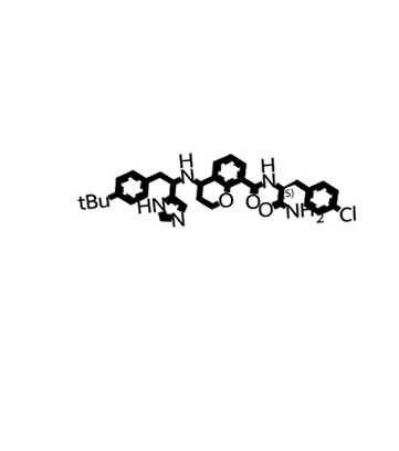 CC(C)(C)c1ccc(CC(NC2CCOc3c(C(=O)N[C@@H](Cc4ccc(Cl)cc4)C(N)=O)cccc32)c2cnc[nH]2)cc1